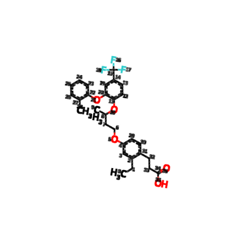 CCc1cc(OCCC(C)Oc2ccc(C(F)(F)F)cc2Oc2ccccc2C)ccc1CCC(=O)O